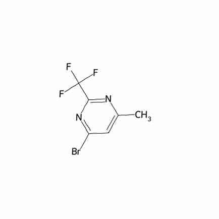 Cc1cc(Br)nc(C(F)(F)F)n1